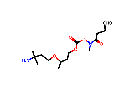 CC(CCOC(=O)ON(C)C(=O)CCC=O)OCCC(C)(C)N